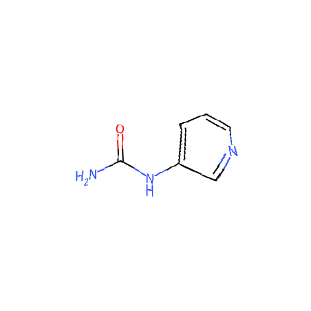 NC(=O)Nc1cccnc1